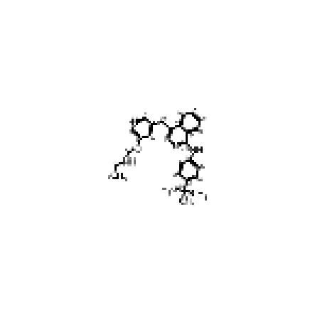 CCNCOc1cncc(Cc2nnc(Nc3ccc(C(C)(C)C)cc3)c3ccccc23)c1